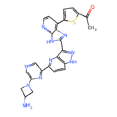 CC(=O)c1ccc(-c2ccnc3[nH]c(-c4n[nH]c5ccc(-c6cncc(N7CC(N)C7)n6)nc45)nc23)s1